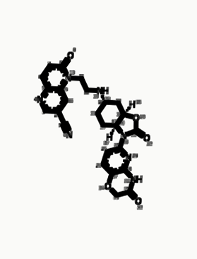 N#Cc1cnc2ccc(=O)n(CCN[C@H]3CC[C@H]4[C@@H](C3)OC(=O)N4c3ccc4c(n3)NC(=O)CO4)c2c1